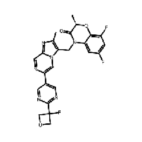 Cc1nc2cnc(-c3cnc(C4(F)COC4)nc3)cn2c1CN1C(=O)[C@@H](C)Oc2c(F)cc(F)cc21